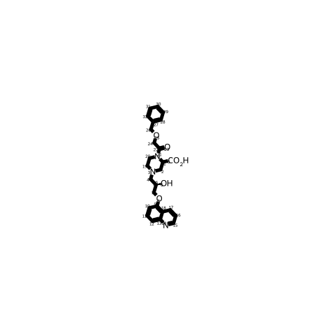 O=C(O)C1CN(C[C@@H](O)COc2cccc3ncccc23)CCN1C(=O)COCc1ccccc1